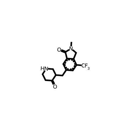 CN1Cc2c(cc(CC3CNCCC3=O)cc2C(F)(F)F)C1=O